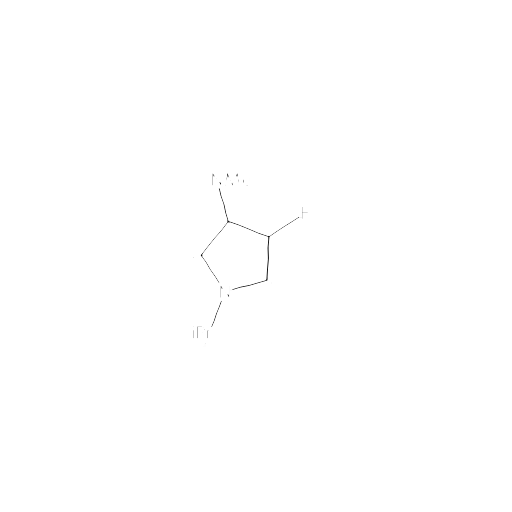 CNC1CN(C(C)C)CC1F